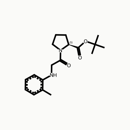 Cc1ccccc1NCC(=O)N1CCC[C@H]1C(=O)OC(C)(C)C